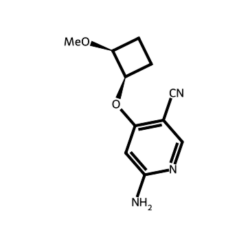 CO[C@H]1CC[C@H]1Oc1cc(N)ncc1C#N